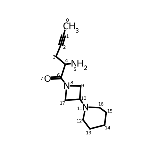 CC#CCC(N)C(=O)N1CC(N2CCCCC2)C1